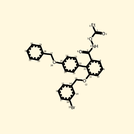 CCC(=O)ONC(=O)c1cccc(OCc2cccc(Br)c2)c1-c1ccc(OCc2ccccc2)cc1